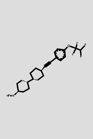 CCCCC[C@H]1CC[C@H]([C@H]2CC[C@H](C#Cc3ccc(OC(F)(F)C(F)F)cc3)CC2)CC1